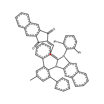 Cc1cc(-c2ccccc2)c(N2/C(=C/C=C3C(=O)c4cc5ccccc5cc4C3=O)N(c3c(C(C)C)cccc3C(C)C)c3nc4ccccc4nc32)c(-c2ccccc2)c1